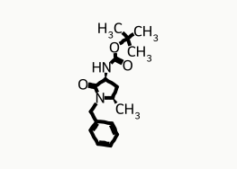 C[C@@H]1C[C@H](NC(=O)OC(C)(C)C)C(=O)N1Cc1ccccc1